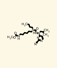 CCCCN(CCCCCCNC(=O)OC)C(=O)NN(CC(C)C)c1ccnc(C#N)n1